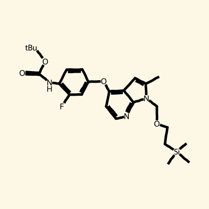 Cc1cc2c(Oc3ccc(NC(=O)OC(C)(C)C)c(F)c3)ccnc2n1COCC[Si](C)(C)C